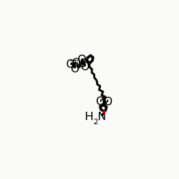 Nc1ccc(S(=O)(=O)CCCCCCCCCCCCc2ccccc2S(=O)(=O)C2C[O][Ti](=[O])[O]2)cc1